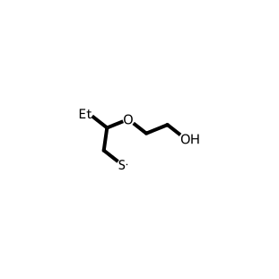 CCC(C[S])OCCO